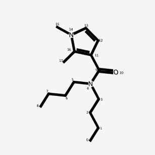 CCCCN(CCCC)C(=O)c1ccn(C)c1C